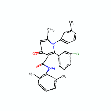 Cc1cccc(-n2c(C)cc(=O)c(C(=O)Nc3c(C)cccc3C)c2-c2cccc(Cl)c2)c1